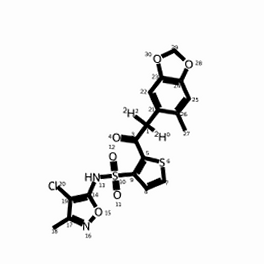 [2H]C([2H])(C(=O)c1sccc1S(=O)(=O)Nc1onc(C)c1Cl)c1cc2c(cc1C)OCO2